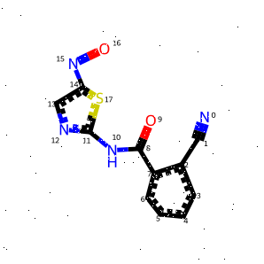 N#Cc1ccccc1C(=O)Nc1ncc(N=O)s1